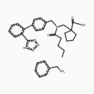 CCCCC(=O)N(Cc1ccc(-c2ccccc2-c2nnn[nH]2)cc1)CC1(C(=O)O)CCCC1.NCc1ccccc1